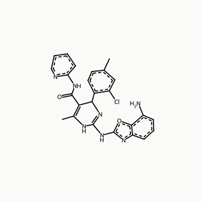 CC1=C(C(=O)Nc2ccccn2)C(c2ccc(C)cc2Cl)N=C(Nc2nc3cccc(N)c3o2)N1